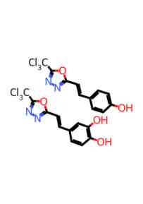 Oc1ccc(C=Cc2nnc(C(Cl)(Cl)Cl)o2)cc1.Oc1ccc(C=Cc2nnc(C(Cl)(Cl)Cl)o2)cc1O